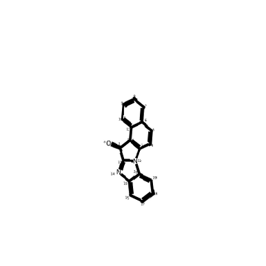 O=C1c2c(ccc3ccccc23)-n2c1nc1ccccc12